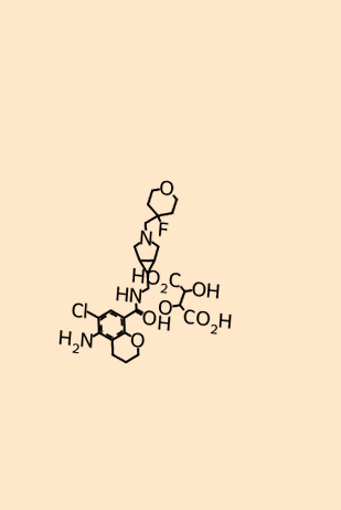 Nc1c(Cl)cc(C(=O)NCC2C3CN(CC4(F)CCOCC4)CC23)c2c1CCCO2.O=C(O)C(O)C(O)C(=O)O